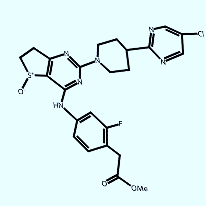 COC(=O)Cc1ccc(Nc2nc(N3CCC(c4ncc(Cl)cn4)CC3)nc3c2[S+]([O-])CC3)cc1F